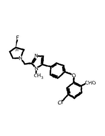 Cn1c(-c2ccc(Oc3cc(Cl)ccc3C=O)cc2)cnc1CN1CC[C@@H](F)C1